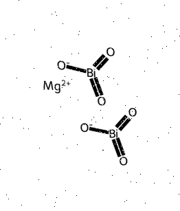 [Mg+2].[O]=[Bi](=[O])[O-].[O]=[Bi](=[O])[O-]